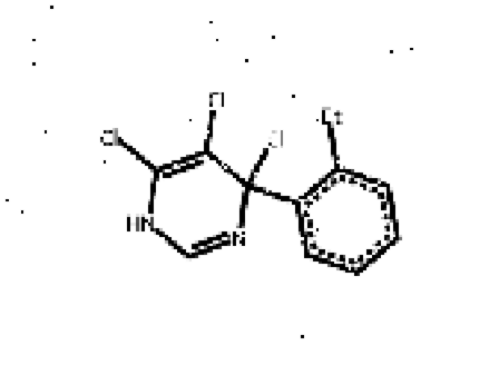 CCc1ccccc1C1(Cl)N=CNC(Cl)=C1Cl